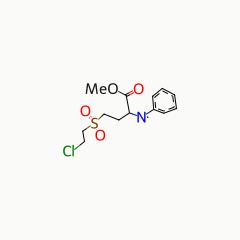 COC(=O)C(CCS(=O)(=O)CCCl)[N]c1ccccc1